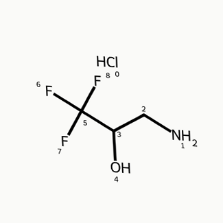 Cl.NCC(O)C(F)(F)F